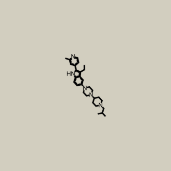 CCc1c(-c2ccnc(C)c2)[nH]c2ccc(N3CCN(C4CCN(CC(C)C)CC4)CC3)cc12